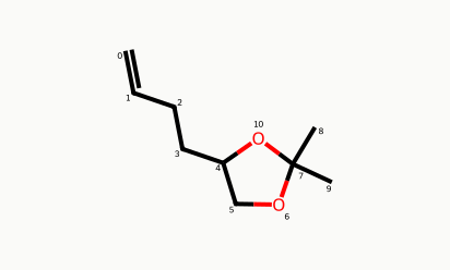 C=CCCC1COC(C)(C)O1